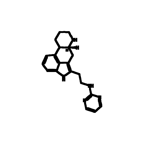 c1cnc(NCCc2[nH]c3cccc4c3c2C[C@H]2NCCCC42)nc1